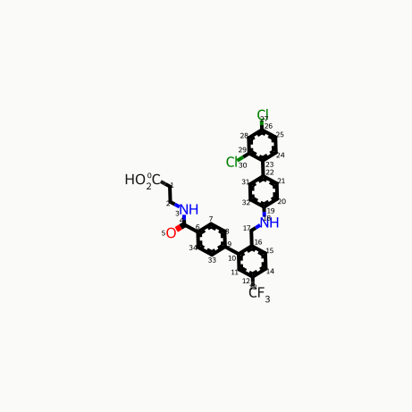 O=C(O)CCNC(=O)c1ccc(-c2cc(C(F)(F)F)ccc2CNc2ccc(-c3ccc(Cl)cc3Cl)cc2)cc1